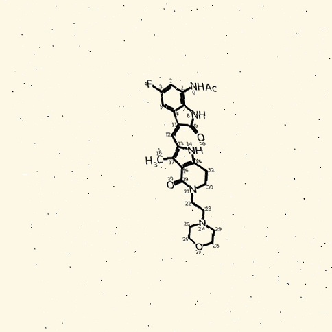 CC(=O)Nc1cc(F)cc2c1NC(=O)C2=Cc1[nH]c2c(c1C)C(=O)N(CCN1CCOCC1)CC2